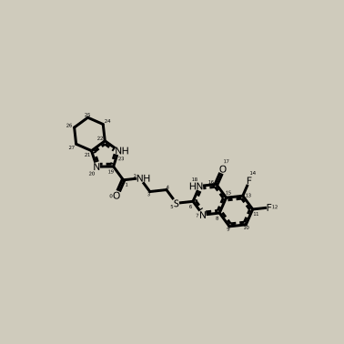 O=C(NCCSc1nc2ccc(F)c(F)c2c(=O)[nH]1)c1nc2c([nH]1)CCCC2